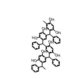 Cc1cc(C(c2ccccc2)c2cc(C(c3ccccc3)c3cc(C(c4ccccc4)c4cc(C(C)c5ccccc5)c(O)cc4O)c(O)cc3O)c(O)cc2O)c(O)cc1O